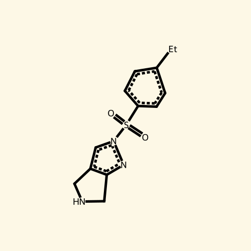 CCc1ccc(S(=O)(=O)n2cc3c(n2)CNC3)cc1